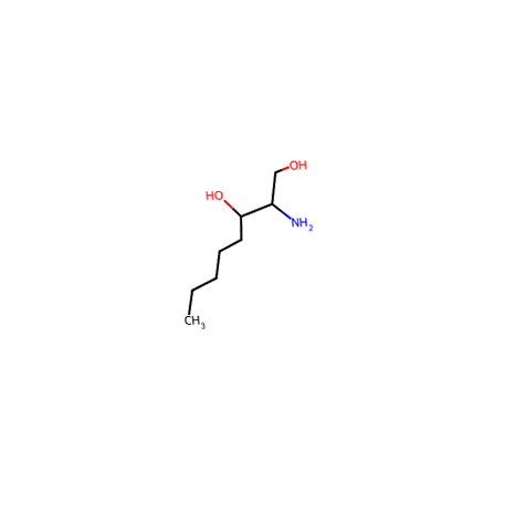 CCCCCC(O)C(N)CO